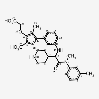 Cc1cccc(N(C)C(=O)C(Nc2cccc(-c3sc(C(=O)O)c(OCC(=O)O)c3C)c2)C2CCNCC2)c1